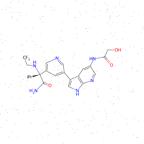 CC(C)[C@](NCC(F)(F)F)(C(N)=O)c1cncc(-c2c[nH]c3ncc(NC(=O)CO)cc23)c1